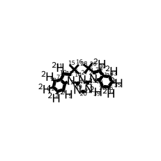 [2H]c1c([2H])c([2H])c2c(c1[2H])c([2H])c(C(C)(C)C)n2-c1ncnc(-n2c(C(C)(C)C)c([2H])c3c([2H])c([2H])c([2H])c([2H])c32)n1